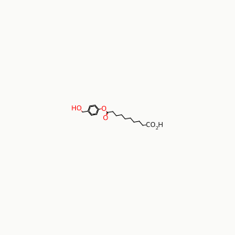 O=C(O)CCCCCCCCC(=O)Oc1ccc(CO)cc1